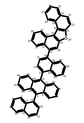 c1ccc2c(-c3c4ccccc4c(-c4ccc(-c5cc6sc7ccc8ccccc8c7c6c6ccccc56)c5ccccc45)c4ccccc34)cccc2c1